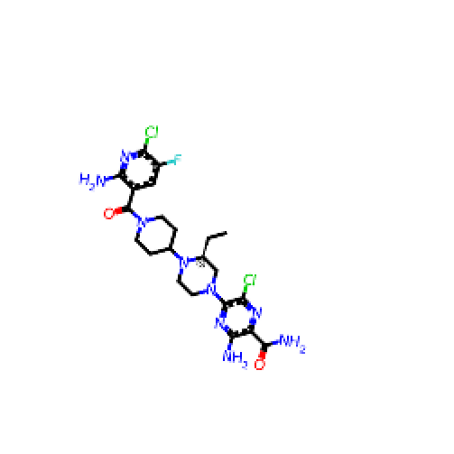 CC[C@H]1CN(c2nc(N)c(C(N)=O)nc2Cl)CCN1C1CCN(C(=O)c2cc(F)c(Cl)nc2N)CC1